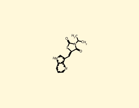 CC(C)N1C(=O)SC(=Cc2c[nH]c3cccnc23)C1=O